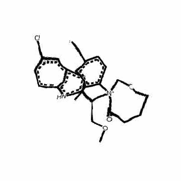 [CH]c1ccc([N+]2([C@@H](COC)c3nc4cc(Cl)ccc4[nH]3)CCCCCC2=O)c(C)c1